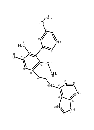 COc1cncc(-c2c(C)c(Cl)cc(CCNc3ncnc4[nH]cnc34)c2OC)c1